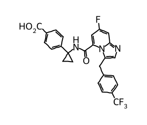 O=C(O)c1ccc(C2(NC(=O)c3cc(F)cc4ncc(Cc5ccc(C(F)(F)F)cc5)n34)CC2)cc1